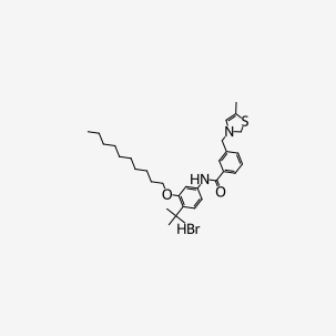 Br.CCCCCCCCCCOc1cc(NC(=O)c2cccc(CN3C=C(C)SC3)c2)ccc1C(C)(C)C